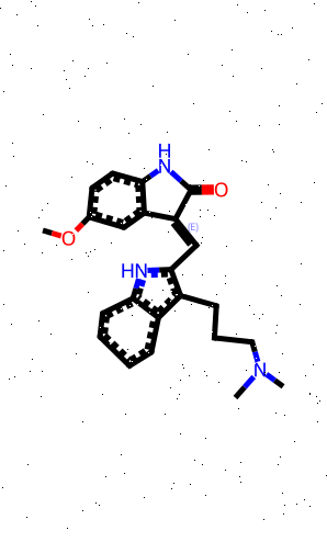 COc1ccc2c(c1)/C(=C\c1[nH]c3ccccc3c1CCCN(C)C)C(=O)N2